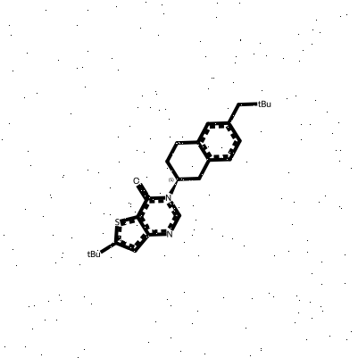 CC(C)(C)Cc1ccc2c(c1)CC[C@H](n1cnc3cc(C(C)(C)C)sc3c1=O)C2